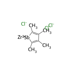 CC1=[C](C)[Sb]([Zr+3])[C](C)=C1C.[Cl-].[Cl-].[Cl-]